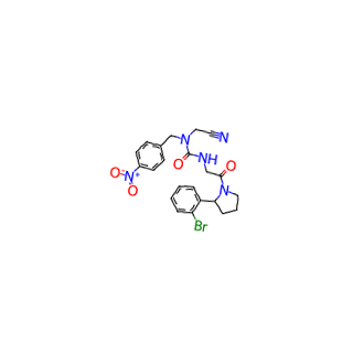 N#CCN(Cc1ccc([N+](=O)[O-])cc1)C(=O)NCC(=O)N1CCCC1c1ccccc1Br